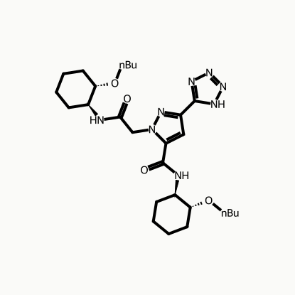 CCCCO[C@H]1CCCC[C@@H]1NC(=O)Cn1nc(-c2nnn[nH]2)cc1C(=O)N[C@@H]1CCCC[C@H]1OCCCC